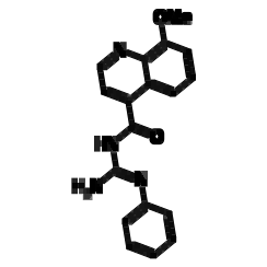 COc1cccc2c(C(=O)NC(N)=Nc3ccccc3)ccnc12